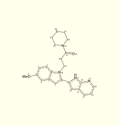 COc1ccc2c(c1)cc(-c1cc3cccnc3[nH]1)n2CCC(=O)N1CCSCC1